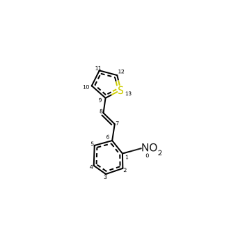 O=[N+]([O-])c1ccccc1/C=C/c1cccs1